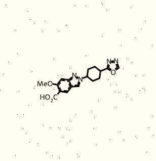 COc1cc2nn(C3CCC(c4nnco4)CC3)cc2cc1C(=O)O